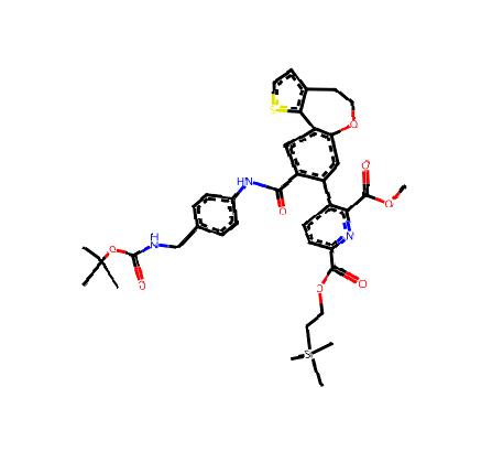 COC(=O)c1nc(C(=O)OCC[Si](C)(C)C)ccc1-c1cc2c(cc1C(=O)Nc1ccc(CNC(=O)OC(C)(C)C)cc1)-c1sccc1CCO2